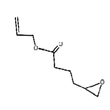 C=CCOC(=O)CCCC1CO1